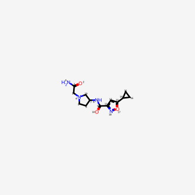 NC(=O)CN1CCC(NC(=O)c2cc(C3CC3)on2)C1